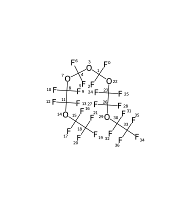 FC(F)(OC(F)(F)OC(F)(F)C(F)(F)OC(F)(F)C(F)(F)F)OC(F)(F)C(F)(F)OC(F)(F)C(F)(F)F